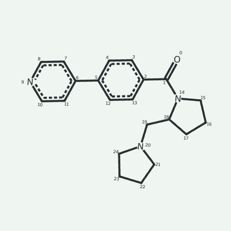 O=C(c1ccc(-c2ccncc2)cc1)N1CCCC1CN1CCCC1